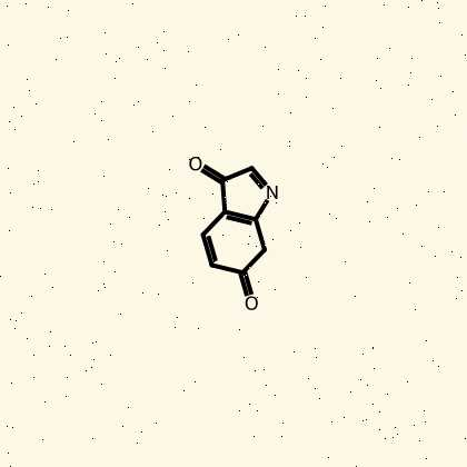 O=C1C=CC2=C(C1)N=CC2=O